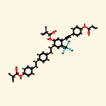 C=CC(=O)Oc1ccc(C#Cc2cc(OC(=O)C(=C)C)c(/C=C/c3ccc(/C=C/c4ccc(OC(=O)C(=C)C)cc4)cc3)cc2C(F)(F)F)cc1